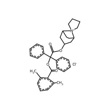 Cc1cccc(C)c1C(=O)OC(C(=O)OC1CC2CCC(C1)[N+]21CCCC1)(c1ccccc1)c1ccccc1.[Cl-]